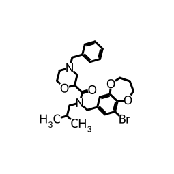 CC(C)CN(Cc1cc(Br)c2c(c1)OCCCO2)C(=O)C1CN(Cc2ccccc2)CCO1